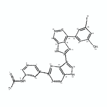 CCC(=O)Nc1cncc(-c2ccc3[nH]nc(-c4nc5c(-c6cc(O)cc(F)c6)cncc5[nH]4)c3n2)c1